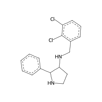 Clc1cccc(CNC2CCNC2c2ccccc2)c1Cl